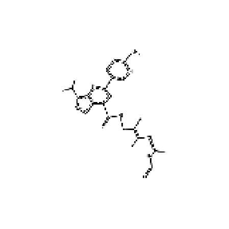 C/C(=C/C(C)=C(\C)CNC(=O)c1cc(-c2cnc(N)nc2)nc2c1cnn2C(C)C)NC=O